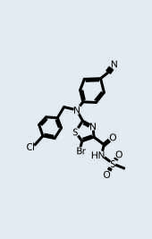 CS(=O)(=O)NC(=O)c1nc(N(Cc2ccc(Cl)cc2)c2ccc(C#N)cc2)sc1Br